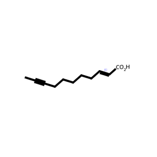 CC#CCCCCC/C=C/C(=O)O